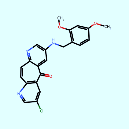 COc1ccc(CNc2cnc3ccc4ncc(Cl)cc4c(=O)c3c2)c(OC)c1